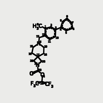 Cc1cc(-c2ccccc2)ccc1CN1CCC2(CC1)CN(C(=O)OC(C(F)(F)F)C(F)(F)F)C2